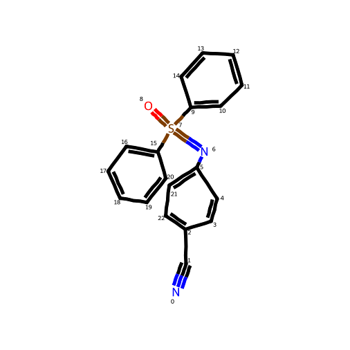 N#Cc1ccc(N=S(=O)(c2ccccc2)c2ccccc2)cc1